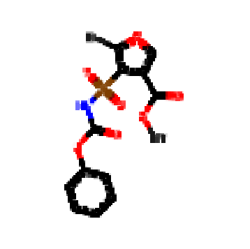 CCCOC(=O)c1coc(CC)c1S(=O)(=O)NC(=O)Oc1ccccc1